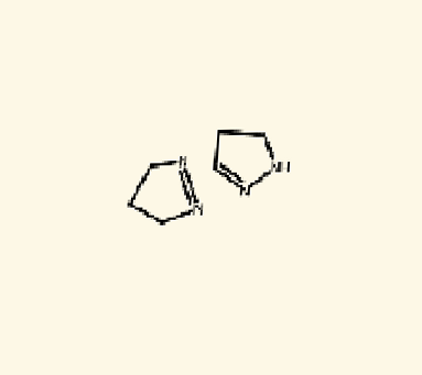 C1=NNCC1.C1CN=NC1